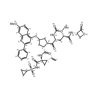 C=C[C@@H]1C[C@]1(NC(=O)[C@@H]1CC(Oc2cc(-c3ccccc3)nc3cc(OC)ccc23)CN1C(=O)[C@H](CCC(=O)N[C@H]1COC1=O)NC(=O)OC(C)(C)C)C(=O)NS(=O)(=O)C1CC1